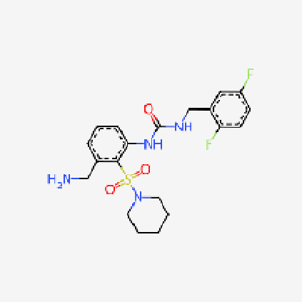 NCc1cccc(NC(=O)NCc2cc(F)ccc2F)c1S(=O)(=O)N1CCCCC1